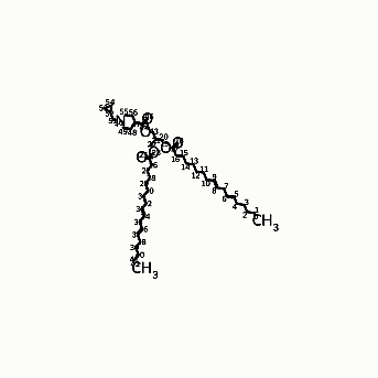 CCCCCC=CCC=CCCCCCCCC(=O)OCC(COC(=O)CCCCCCCC=CCC=CCCCCC)COC(=O)C1CCN(CC2CC2)CC1